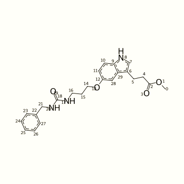 COC(=O)CCc1c[nH]c2ccc(OCCCNC(=O)NCc3ccccc3)cc12